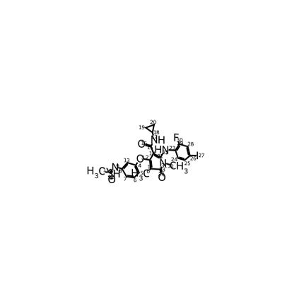 Cc1c(Oc2cccc(/N=[SH](/C)=O)c2)c(C(=O)NC2CC2)c(Nc2ccc(I)cc2F)n(C)c1=O